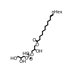 CCCCCC/C=C/CCCCCCCCCC(=O)OCC(O)COP(=O)(O)OCC(O)CO